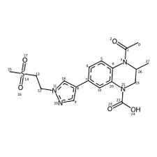 CC(=O)N1c2ccc(-c3cnn(CCS(C)(=O)=O)c3)cc2N(C(=O)O)CC1C